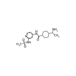 CC(N)C1CCC(C(=O)Nc2ccnc(NS(C)(=O)=O)c2)CC1